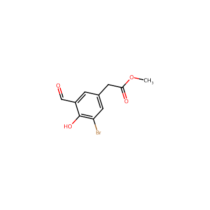 COC(=O)Cc1cc(Br)c(O)c(C=O)c1